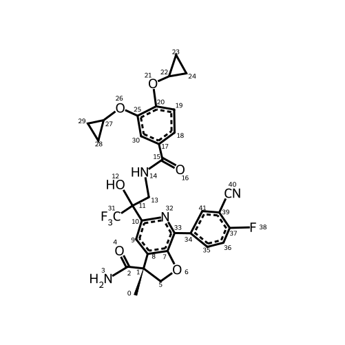 C[C@]1(C(N)=O)COc2c1cc(C(O)(CNC(=O)c1ccc(OC3CC3)c(OC3CC3)c1)C(F)(F)F)nc2-c1ccc(F)c(C#N)c1